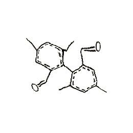 Cc1cc(C)c(-c2c(C)cc(C)cc2C=O)c(C=O)c1